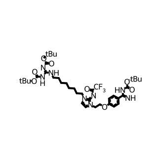 CC(C)(C)OC(=O)/N=C(\NCCCCCCCCn1ccn(CCOc2ccc(C(=N)NC(=O)OC(C)(C)C)cc2)/c1=N/C(=O)C(F)(F)F)NC(=O)OC(C)(C)C